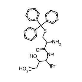 CC(C)C(NC(=O)[C@H](N)CSC(c1ccccc1)(c1ccccc1)c1ccccc1)C(O)CC(=O)O